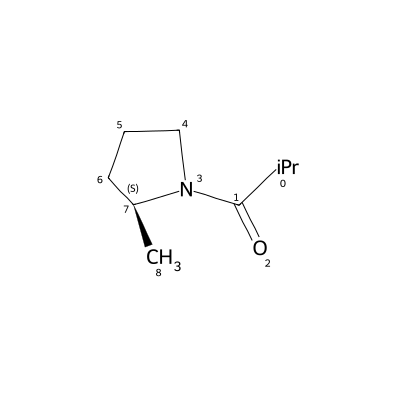 CC(C)C(=O)N1CCC[C@@H]1C